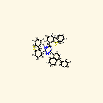 c1ccc(-c2ccc(-c3nc(-c4cccc5c4sc4ccccc45)nc(-c4cccc5sc6ccccc6c45)n3)c3ccccc23)cc1